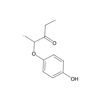 [CH2]C(Oc1ccc(O)cc1)C(=O)CC